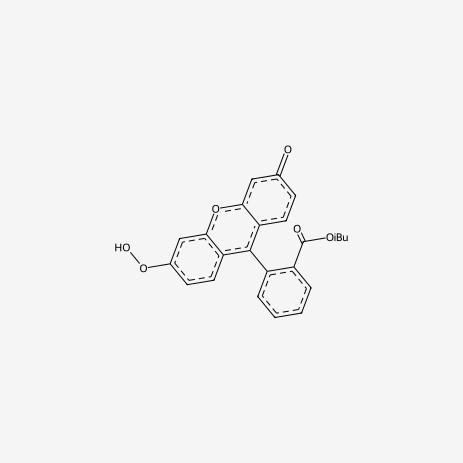 CC(C)COC(=O)c1ccccc1-c1c2ccc(=O)cc-2oc2cc(OO)ccc12